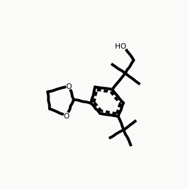 CC(C)(C)c1cc(C2OCCO2)cc(C(C)(C)CO)c1